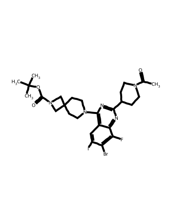 CC(=O)N1CCC(c2nc(N3CCC4(CC3)CN(C(=O)OC(C)(C)C)C4)c3cc(I)c(Br)c(F)c3n2)CC1